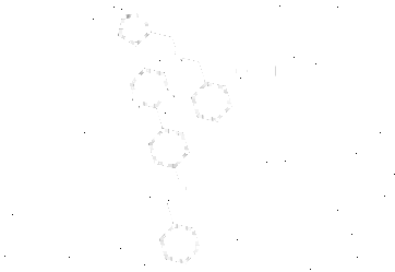 O=C(O)c1ccccc1CN(Cc1cccs1)c1ccnc(-c2ccc(OCc3ccccc3)cc2)n1